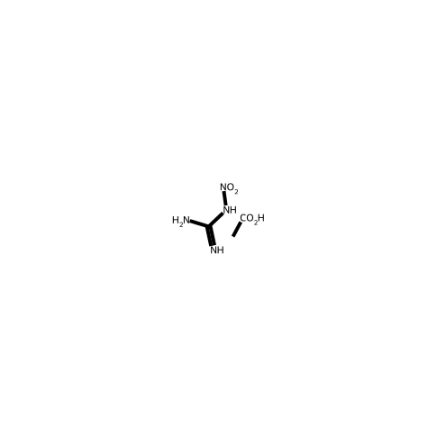 CC(=O)O.N=C(N)N[N+](=O)[O-]